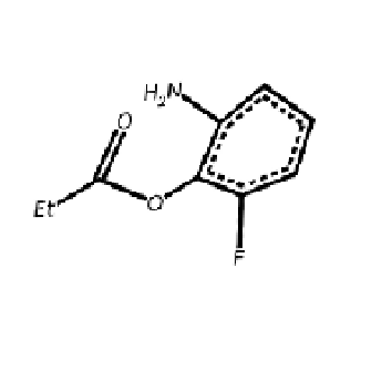 CCC(=O)Oc1c(N)cccc1F